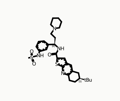 CC(C)(C)[C@H]1CCc2nc3sc(C(=O)N[C@H](CCN4CCCCC4)c4cccc(NS(C)(=O)=O)c4)cc3cc2C1